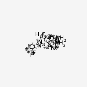 C[As](C)CCn1cc(-c2ccc(F)c(C(F)(F)F)c2)nc1C1CCN(c2ncnc(N)c2-c2ccccc2C(N)=O)CC1